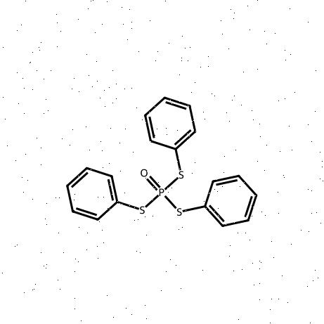 O=P(Sc1ccccc1)(Sc1ccccc1)Sc1ccccc1